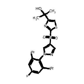 CC(C)c1cc(F)cc(C(C)C)c1-n1cc(S(=O)(=O)c2nc(C(C)(C)O)cs2)cn1